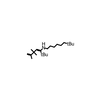 C=C(C)C(C)(C)/C=C(/NCCCCCCC(C)(C)C)C(C)(C)C